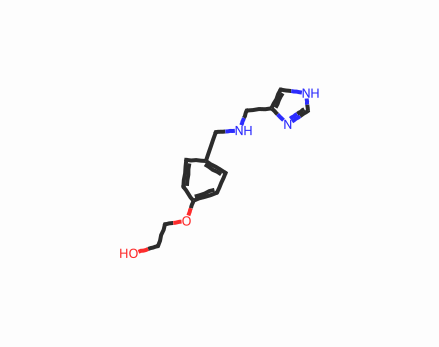 OCCOc1ccc(CNCc2c[nH]cn2)cc1